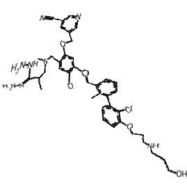 Cc1c(COc2cc(OCc3cncc(C#N)c3)c(CN(C)CC(C)/C(=N/N)NN)cc2Cl)cccc1-c1cccc(OCCCNCCCO)c1Cl